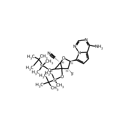 CC(C)(C)[Si](C)(C)OC1C2(O[Si](C)(C)C(C)(C)C)[C@@H](F)[C@H](c3ccc4c(N)ncnn34)O[C@]12C#N